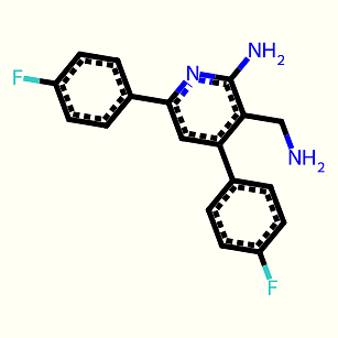 NCc1c(-c2ccc(F)cc2)cc(-c2ccc(F)cc2)nc1N